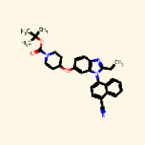 CCc1nc2ccc(OC3CCN(C(=O)OC(C)(C)C)CC3)cc2n1-c1ccc(C#N)c2ccccc12